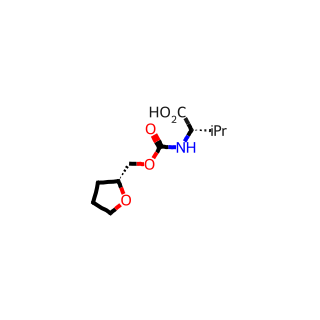 CC(C)[C@H](NC(=O)OC[C@H]1CCCO1)C(=O)O